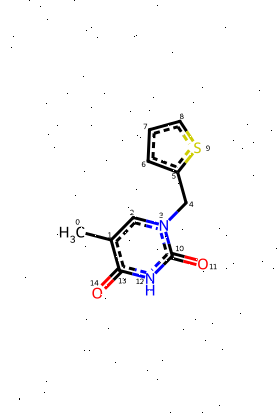 Cc1cn(Cc2cccs2)c(=O)[nH]c1=O